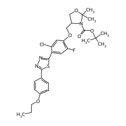 CCCOc1ccc(-c2nnc(-c3cc(F)c(OCC4COC(C)(C)N4C(=O)OC(C)(C)C)cc3Cl)s2)cc1